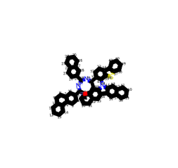 C/C1=C(c2ccc3c(ccc4ccccc43)c2)/N=C(c2ccc3ccccc3c2)\N=C(\c2ccc3c(sc4ccccc43)c2-n2c3cc4ccccc4cc3c3cc4ccccc4cc32)CC1